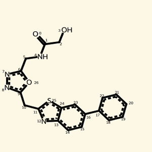 O=C(CO)NCc1nnc(Cc2nc3ccc(-c4ccccc4)cc3s2)o1